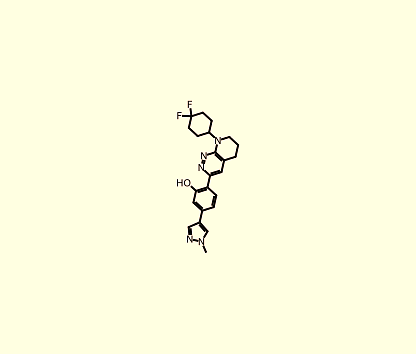 Cn1cc(-c2ccc(-c3cc4c(nn3)N(C3CCC(F)(F)CC3)CCC4)c(O)c2)cn1